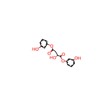 O=C(CC(O)C(=O)Oc1cccc(O)c1)Oc1cccc(O)c1